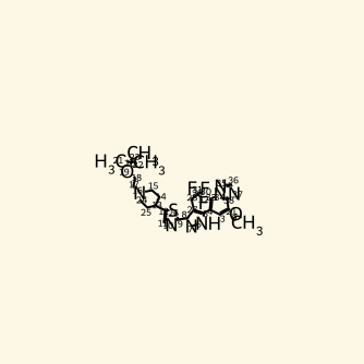 COc1cc(-c2[nH]nc(-c3ncc(C4CCN(CCOC(C)(C)C)CC4)s3)c2CC(F)(F)F)cn2ncnc12